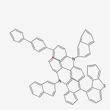 c1ccc(-c2ccc(-c3ccc(N(c4ccc5ccccc5c4)c4ccccc4-c4ccccc4N(c4ccc5ccccc5c4)c4ccc(-c5cccc6sc7ccccc7c56)c5ccccc45)cc3)cc2)cc1